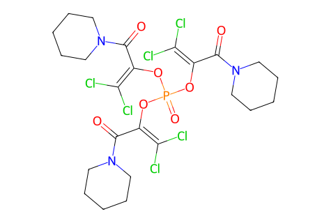 O=C(C(OP(=O)(OC(C(=O)N1CCCCC1)=C(Cl)Cl)OC(C(=O)N1CCCCC1)=C(Cl)Cl)=C(Cl)Cl)N1CCCCC1